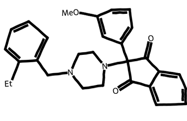 CCc1ccccc1CN1CCN(C2(c3cccc(OC)c3)C(=O)c3ccccc3C2=O)CC1